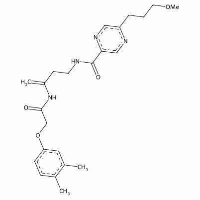 C=C(CCNC(=O)c1cnc(CCCOC)cn1)NC(=O)COc1ccc(C)c(C)c1